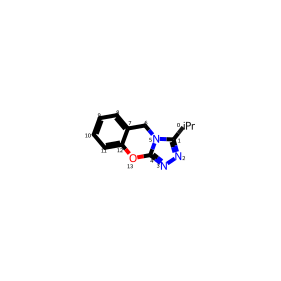 CC(C)c1nnc2n1Cc1ccccc1O2